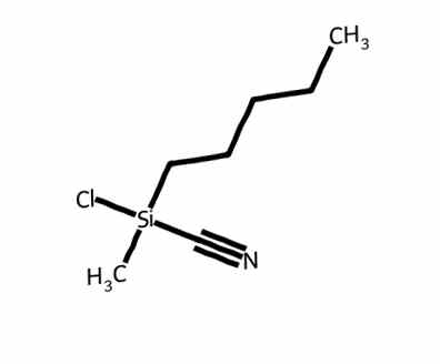 CCCCC[Si](C)(Cl)C#N